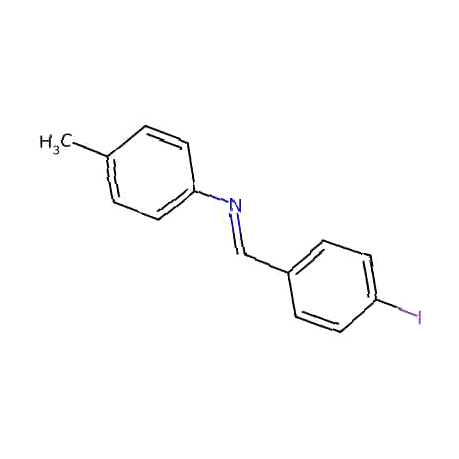 Cc1ccc(N=Cc2ccc(I)cc2)cc1